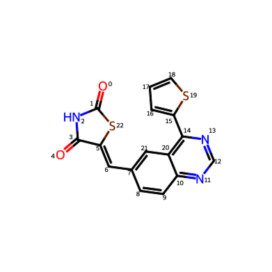 O=C1NC(=O)C(=Cc2ccc3ncnc(-c4cccs4)c3c2)S1